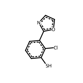 Sc1cccc(-c2ncco2)c1Cl